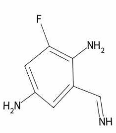 N=Cc1cc(N)cc(F)c1N